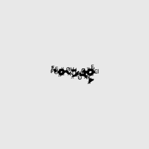 O=C(NN1CCN(C[C@@H](O)c2ccc(OC(F)(F)F)cc2)CC1)c1cn(C2CC2)c2cc(Cl)c(F)cc2c1=O